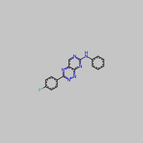 Fc1ccc(-c2nnc3nc(Nc4ccccc4)ncc3n2)cc1